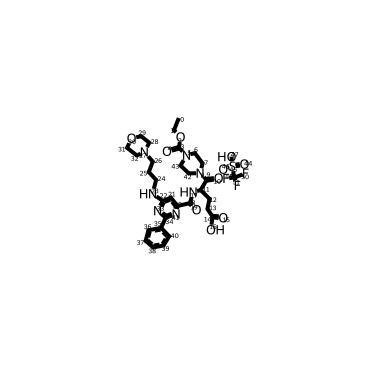 CCOC(=O)N1CCN(C(=O)C(CCC(=O)O)NC(=O)c2cc(NCCCN3CCOCC3)nc(-c3ccccc3)n2)CC1.O=S(=O)(O)C(F)(F)F